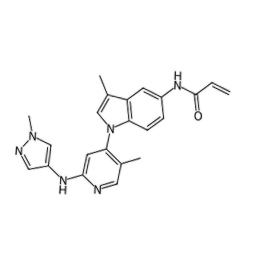 C=CC(=O)Nc1ccc2c(c1)c(C)cn2-c1cc(Nc2cnn(C)c2)ncc1C